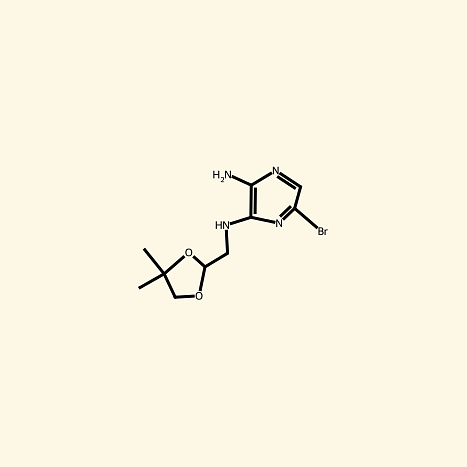 CC1(C)COC(CNc2nc(Br)cnc2N)O1